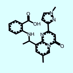 Cc1cc(C(C)Nc2ccccc2C(=O)O)c2nc(-c3ccn(C)n3)cc(=O)n2c1